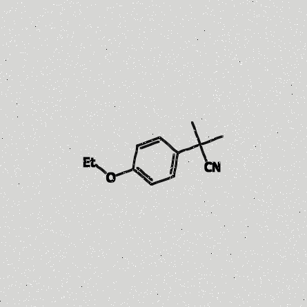 CCOc1ccc(C(C)(C)C#N)cc1